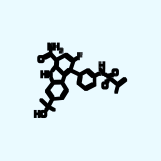 C=C(C)S(=O)(=O)Nc1cccc(-c2c(F)cc(C(N)=O)c3[nH]c4cc(C(C)(C)O)ccc4c23)c1